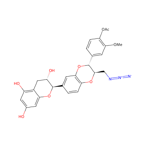 COc1cc([C@H]2Oc3cc([C@H]4Oc5cc(O)cc(O)c5C[C@@H]4O)ccc3O[C@@H]2CN=[N+]=[N-])ccc1OC(C)=O